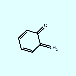 C=C1C=CC=CC1=O